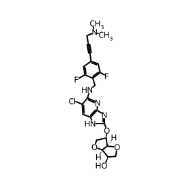 CN(C)CC#Cc1cc(F)c(CNc2nc3nc(O[C@@H]4CO[C@H]5[C@@H]4OC[C@H]5O)[nH]c3cc2Cl)c(F)c1